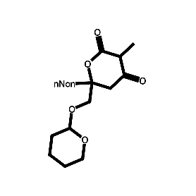 CCCCCCCCCC1(COC2CCCCO2)CC(=O)C(C)C(=O)O1